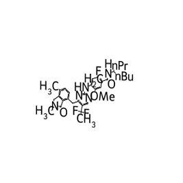 C=C(/C=C(OC)\C(=C/CF)Nc1ncc(C(C)(F)F)c(Cc2ccc(C)c3c2C(=O)N(C)C3)n1)C(=O)NC(CCC)CCCC